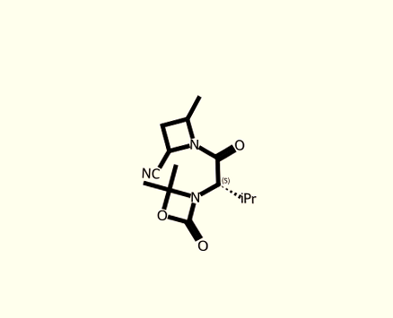 CC(C)[C@@H](C(=O)N1C(C)CC1C#N)N1C(=O)OC1(C)C